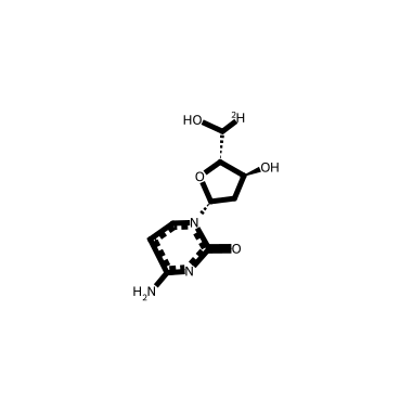 [2H]C(O)[C@H]1O[C@@H](n2ccc(N)nc2=O)C[C@@H]1O